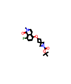 Cn1ccc2c(OC3CC4(C3)CN(C(=O)OC(C)(C)C)C4)ccc(F)c2c1=O